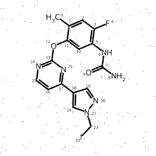 Cc1cc(F)c(NC(N)=O)cc1Oc1nccc(-c2cnn(CI)c2)n1